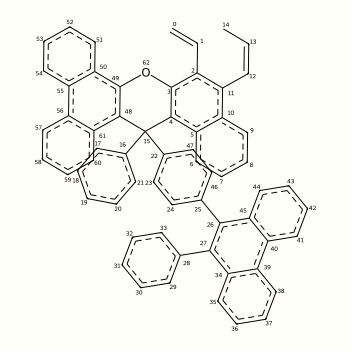 C=Cc1c2c(c3ccccc3c1/C=C\C)C(c1ccccc1)(c1ccc(-c3c(-c4ccccc4)c4ccccc4c4ccccc34)cc1)c1c(c3ccccc3c3ccccc13)O2